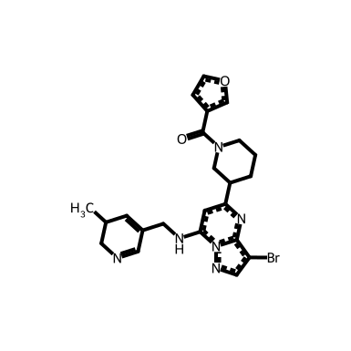 CC1C=C(CNc2cc(C3CCCN(C(=O)c4ccoc4)C3)nc3c(Br)cnn23)C=NC1